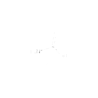 NC(O)=S.[AlH3]